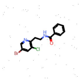 O=C(NCCc1ncc(Br)cc1Cl)c1ccccc1